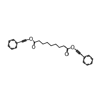 O=C(CCCCCCCC(=O)OC#Cc1ccccc1)OC#Cc1ccccc1